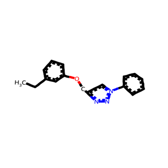 CCc1cccc(OCc2cn(-c3ccccc3)nn2)c1